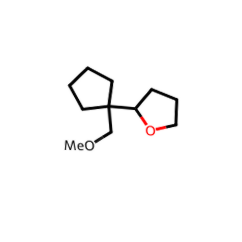 COCC1(C2CCCO2)CCCC1